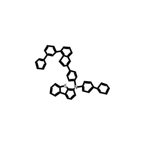 c1ccc(-c2ccc(N(c3ccc(-c4ccc5c(-c6cccc(-c7ccccc7)c6)cccc5c4)cc3)c3cccc4c3sc3ccccc34)cc2)cc1